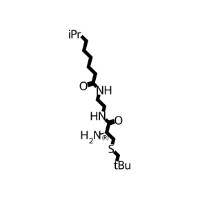 CC(C)CCCCCC(=O)NCCNC(=O)[C@@H](N)CSCC(C)(C)C